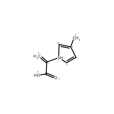 C=C(C(=O)O)[SH]1C=CC(C)=C1